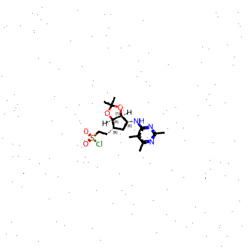 Cc1nc(C)c(C)c(N[C@@H]2C[C@H](CCS(=O)(=O)Cl)[C@H]3OC(C)(C)O[C@H]32)n1